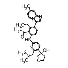 CCc1c(-c2cnc3cc(C)ccn23)ccc(Nc2ccc([C@@]3(O)CCOC3)c(CN(C)C)n2)c1C(C)=O